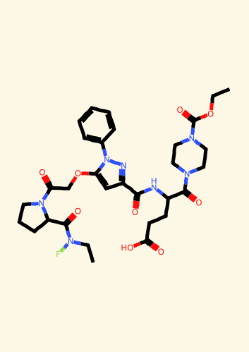 CCOC(=O)N1CCN(C(=O)C(CCC(=O)O)NC(=O)c2cc(OCC(=O)N3CCCC3C(=O)N(F)CC)n(-c3ccccc3)n2)CC1